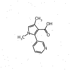 Cc1cn(C)c(-c2cccnc2)c1C(=O)O